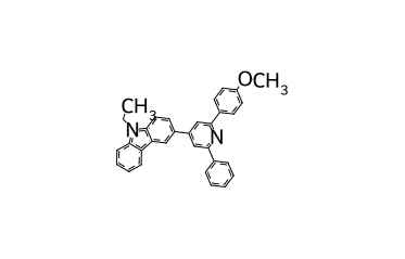 CCn1c2ccccc2c2cc(-c3cc(-c4ccccc4)nc(-c4ccc(OC)cc4)c3)ccc21